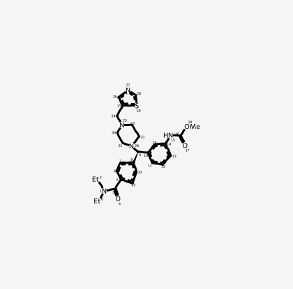 CCN(CC)C(=O)c1ccc([C@H](c2cccc(NC(=O)OC)c2)N2CCN(Cc3cncs3)CC2)cc1